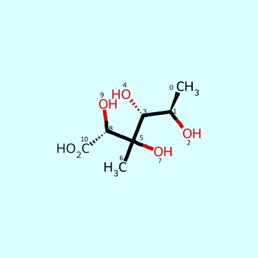 C[C@@H](O)[C@@H](O)C(C)(O)[C@@H](O)C(=O)O